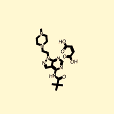 CN1CCN(CCn2ncc3c(NC(=O)C(C)(C)C)ncnc32)CC1.O=C(O)/C=C\C(=O)O